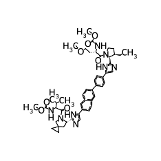 CC[C@@H]1CCN(C(=O)[C@H](CCOC)NC(=O)OC)[C@@H]1c1ncc(-c2ccc(-c3ccc4cc(-c5cnc([C@@H]6CC7(CC7)CN6C(=O)C(NC(=O)OC)C(C)C)[nH]5)ccc4c3)cc2)[nH]1